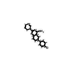 Nc1nc(C2C=NC=CC2)nc2ccc(-c3ccc(Cl)cc3)cc12